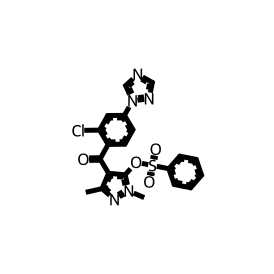 Cc1nn(C)c(OS(=O)(=O)c2ccccc2)c1C(=O)c1ccc(-n2cncn2)cc1Cl